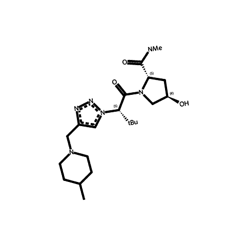 CNC(=O)[C@@H]1C[C@@H](O)CN1C(=O)[C@@H](n1cc(CN2CCC(C)CC2)nn1)C(C)(C)C